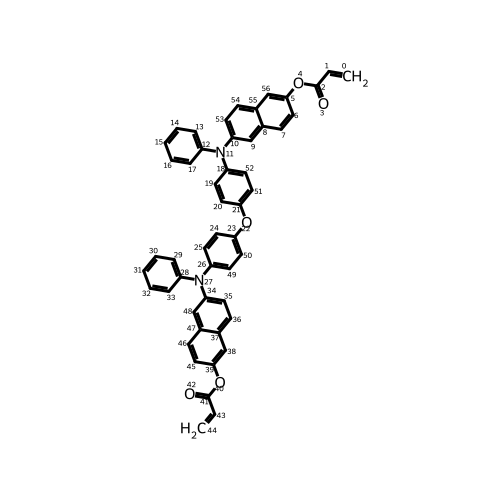 C=CC(=O)Oc1ccc2cc(N(c3ccccc3)c3ccc(Oc4ccc(N(c5ccccc5)c5ccc6cc(OC(=O)C=C)ccc6c5)cc4)cc3)ccc2c1